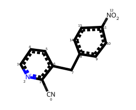 N#Cc1ncccc1Cc1ccc([N+](=O)[O-])cc1